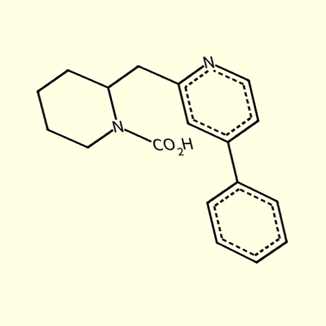 O=C(O)N1CCCCC1Cc1cc(-c2ccccc2)ccn1